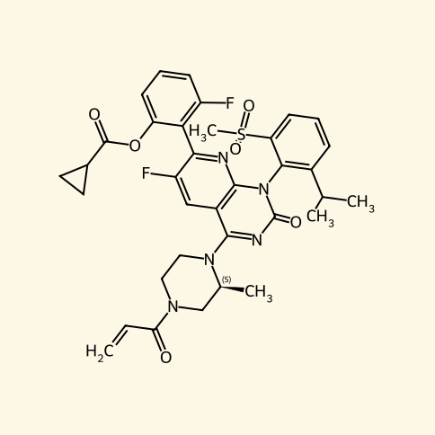 C=CC(=O)N1CCN(c2nc(=O)n(-c3c(C(C)C)cccc3S(C)(=O)=O)c3nc(-c4c(F)cccc4OC(=O)C4CC4)c(F)cc23)[C@@H](C)C1